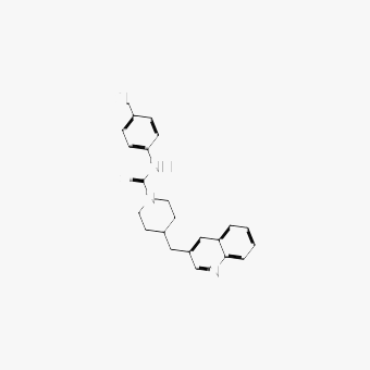 O=C(Nc1ccc(Cl)cc1)N1CCC(Cc2cnc3ccccc3c2)CC1